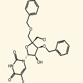 O=c1[nH]c(=O)n([C@@H]2O[C@](CCl)(COCc3ccccc3)[C@@H](OCc3ccccc3)[C@H]2O)cc1F